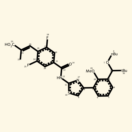 CCCCOC(c1cccc(-c2csc(NC(=O)c3cc(F)c(C=C(C)C(=O)O)c(F)c3)n2)c1OC)C(C)(C)C